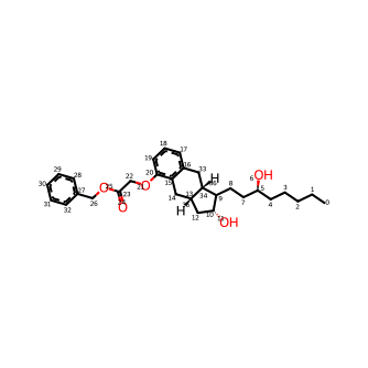 CCCCC[C@H](O)CCC1[C@H](O)C[C@@H]2Cc3c(cccc3OCC(=O)OCc3ccccc3)C[C@H]12